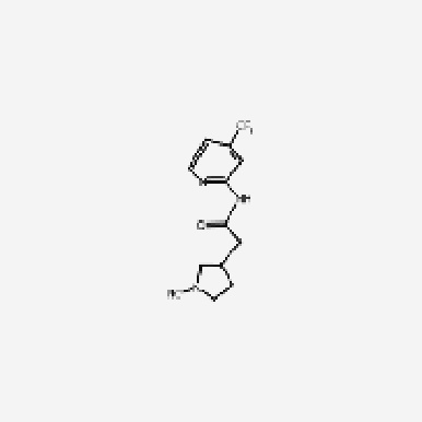 N#CN1CCC(CC(=O)Nc2cc(C(F)(F)F)ccn2)C1